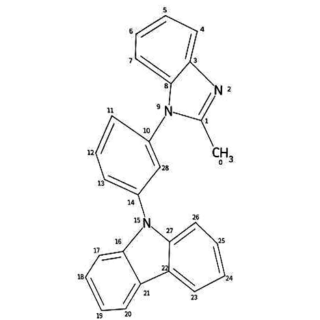 Cc1nc2ccccc2n1-c1cccc(-n2c3ccccc3c3ccccc32)c1